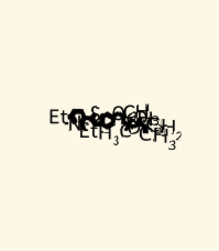 C=C(C)C(=O)OC(C)(C)CC(C)Oc1ccc2cc(-c3ccc(CC)nc3CC)sc2c1